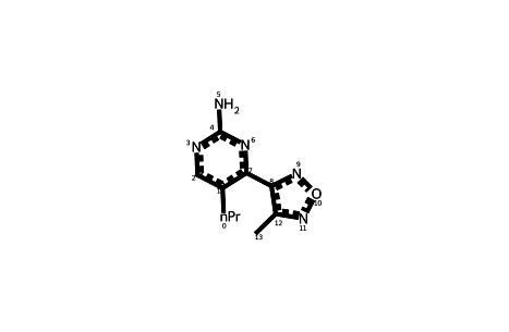 CCCc1cnc(N)nc1-c1nonc1C